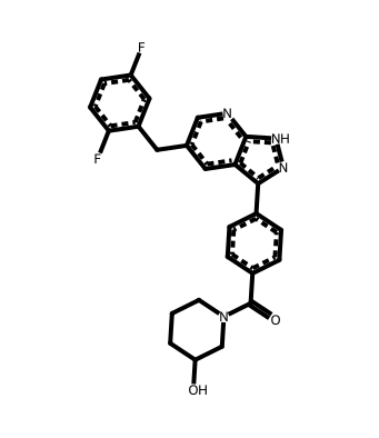 O=C(c1ccc(-c2n[nH]c3ncc(Cc4cc(F)ccc4F)cc23)cc1)N1CCCC(O)C1